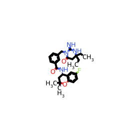 CCC1(CC)CC(=O)N(Cc2cccc(C(=O)N[C@H]3CC(C)(C)Oc4ccc(F)cc43)c2)C(=N)N1